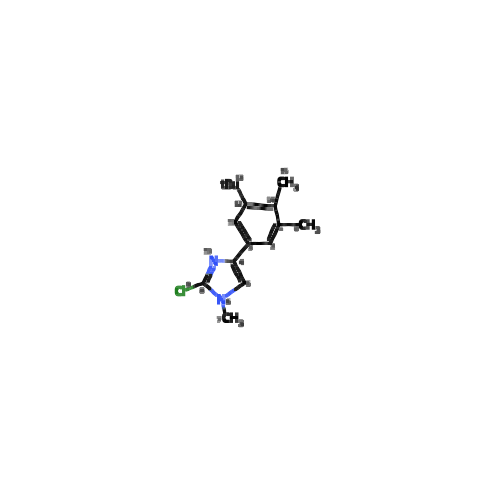 Cc1cc(-c2cn(C)c(Cl)n2)cc(C(C)(C)C)c1C